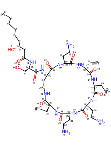 CC(C)CCCCC[C@@H](O)CC(=O)N[C@H](CO)C(=O)N[C@H]1CCNC(O)[C@H](CC(C)C)NC(=O)[C@H](CCN)NC(=O)[C@H](CCN)NC(=O)[C@H](CC(C)C)NC(=O)[C@@H](CC(C)C)NC(=O)[C@H](CCN)NC1=O